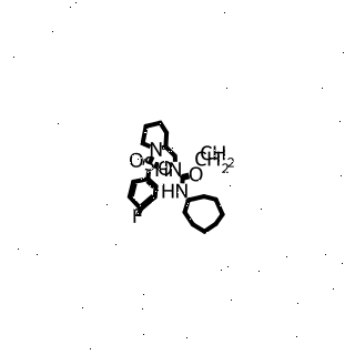 O=C(NCC1CCCCN1S(=O)(=O)c1ccc(F)cc1)N[C]1CCCCCCC1.[CH2].[CH2]